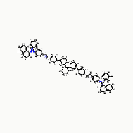 C(=C\c1ccc2c(c1)c1ccccc1n2-c1cccc2ccccc12)/c1ccc(-c2ccc3c(c2)C2(CCCCC2)c2cc(-c4ccc(/C=C/c5ccc6c(c5)c5ccccc5n6-c5cccc6ccccc56)cc4)ccc2-3)cc1